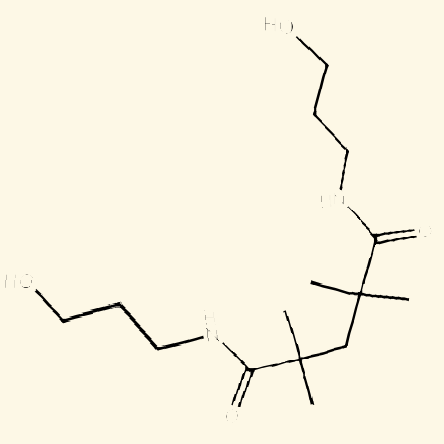 CC(C)(CC(C)(C)C(=O)NCCCO)C(=O)NCCCO